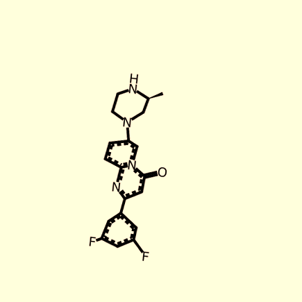 C[C@H]1CN(c2ccc3nc(-c4cc(F)cc(F)c4)cc(=O)n3c2)CCN1